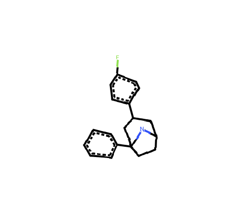 Fc1ccc(C2CC3CCC(c4ccccc4)(C2)[N]3)cc1